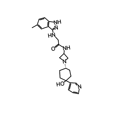 Cc1ccc2[nH]nc(NCC(=O)NC3CN([C@H]4CC[C@@](O)(c5cccnc5)CC4)C3)c2c1